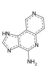 Nc1nc2ccncc2c2[nH]cnc12